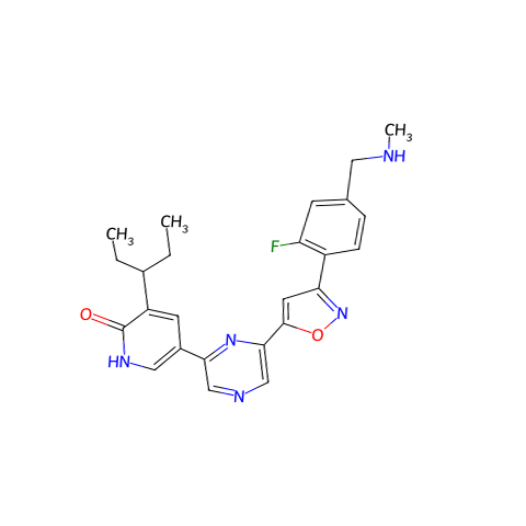 CCC(CC)c1cc(-c2cncc(-c3cc(-c4ccc(CNC)cc4F)no3)n2)c[nH]c1=O